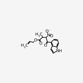 C=CCOC(=O)C(C)C(C(=O)c1cccc2[nH]ccc12)[N+](=O)[O-]